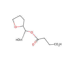 CCCCCCCCC(OC(=O)CCC(=O)O)C1CCCO1